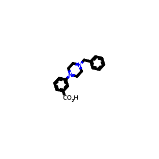 O=C(O)c1cccc(N2CCN(Cc3ccccc3)CC2)c1